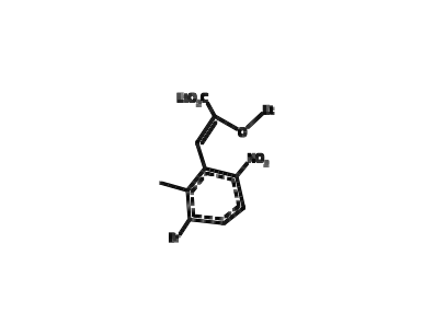 CCOC(=O)C(=Cc1c([N+](=O)[O-])ccc(Br)c1C)OCC